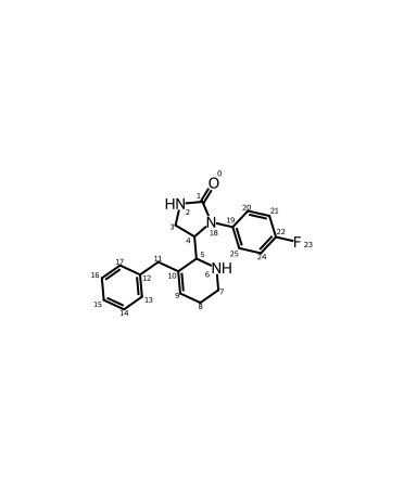 O=C1NCC(C2NCCC=C2Cc2ccccc2)N1c1ccc(F)cc1